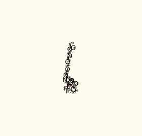 CCC(=O)OCCOCCOCCOCCOc1cc2oc(=O)c(-c3ccccc3C(F)(F)F)cc2cn1